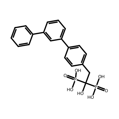 O=P(O)(O)C(O)(Cc1ccc(-c2cccc(-c3ccccc3)c2)cc1)P(=O)(O)O